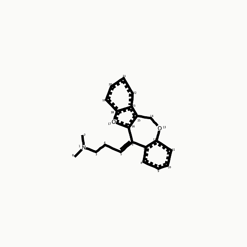 CN(C)CCC=C1c2ccccc2OCc2c1oc1ccccc21